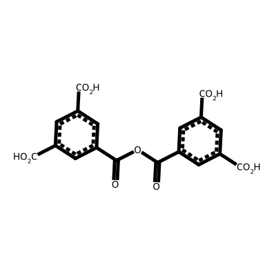 O=C(O)c1cc(C(=O)O)cc(C(=O)OC(=O)c2cc(C(=O)O)cc(C(=O)O)c2)c1